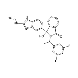 CC(c1cc(F)cc(F)c1)N1C(=O)c2ccccc2C1(O)c1ccc2[nH]c(NC(=O)O)nc2c1